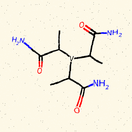 C[CH](C(N)=O)[V]([CH](C)C(N)=O)[CH](C)C(N)=O